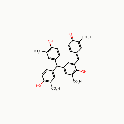 O=C(O)C1=CC(=Cc2cc(C(c3ccc(O)c(C(=O)O)c3)c3ccc(O)c(C(=O)O)c3)cc(C(=O)O)c2O)C=CC1=O